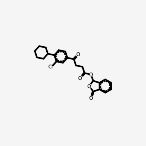 O=C(CCC(=O)c1ccc(C2CCCCC2)c(Cl)c1)OC1OC(=O)c2ccccc21